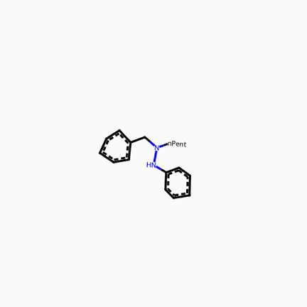 CCCCCN(Cc1ccccc1)Nc1ccccc1